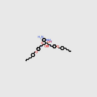 C=CCCCC1CCC(COc2ccc(/C=C/C(=O)C(O)C(c3ccc(N)cc3N)C(O)C(=O)/C=C/c3ccc(OCC4CCC(CCCC=C)CC4)cc3)cc2)CC1